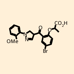 COc1ccccc1N1CC(C(=O)c2cc(Br)ccc2OC(C)C(=O)O)C=N1